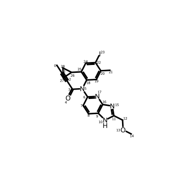 CC#CC(=O)N(c1ccc2[nH]c(COC)nc2n1)c1cc(C)c(I)cc1C1CC1